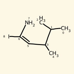 CC(C)C(C)/C=C(\N)I